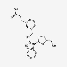 O=C(O)CCc1cccc(CNc2nc3ccccc3n2[C@H]2CC[C@@H](CO)O2)c1